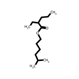 CCCC(CC)C(=O)OCCCCC(C)C